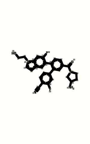 N#Cc1ccc(-c2cc(C(=O)N3CCC(N)C3)ccc2-c2cc3ccn(CCO)c3cc2F)cc1F